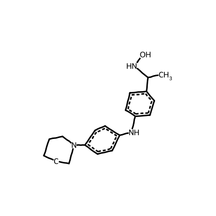 CC(NO)c1ccc(Nc2ccc(N3CCCCC3)cc2)cc1